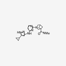 CNC(=O)C12CC(CN(c3nccc(Nc4cc(C5CC5)[nH]n4)n3)C1)C2